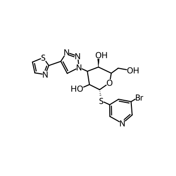 OCC1O[C@H](Sc2cncc(Br)c2)C(O)C(n2cc(-c3nccs3)nn2)[C@H]1O